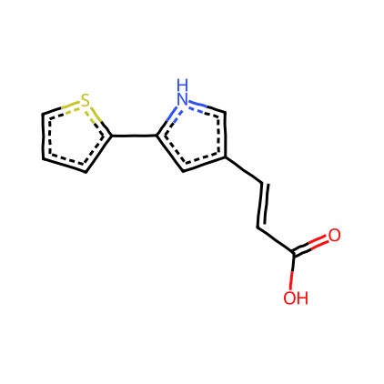 O=C(O)/C=C/c1c[nH]c(-c2cccs2)c1